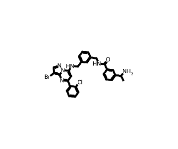 CC(N)c1cccc(C(=O)NCc2cccc(CNc3cc(-c4ccccc4Cl)nc4c(Br)cnn34)c2)c1